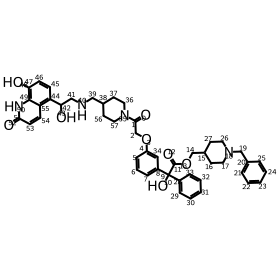 O=C(COc1cccc(C(O)(C(=O)OCC2CCN(Cc3ccccc3)CC2)c2ccccc2)c1)N1CCC(CNCC(O)c2ccc(O)c3[nH]c(=O)ccc23)CC1